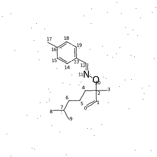 C=CC(C)(CCCC(C)C)ON=Cc1ccc(C)cc1